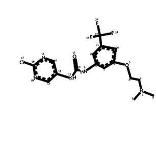 CN(C)CCOc1cc(NC(=O)Nc2cnc(Cl)nc2)cc(C(F)(F)F)c1